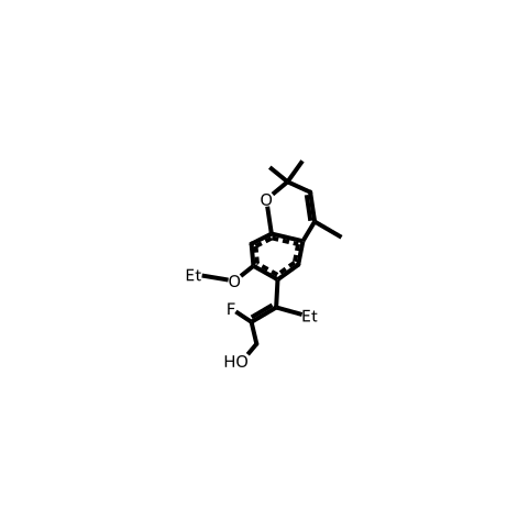 CCOc1cc2c(cc1C(CC)=C(F)CO)C(C)=CC(C)(C)O2